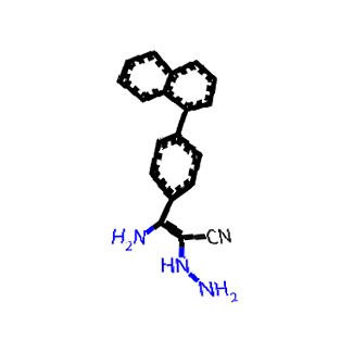 N#C/C(NN)=C(/N)c1ccc(-c2cccc3ccccc23)cc1